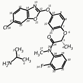 CC(C)N.C[C@@H](Oc1ccc(Oc2nc3ccc(Cl)cc3o2)cc1)C(=O)N(C)c1ccccc1F